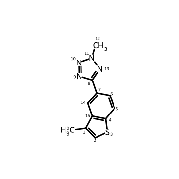 Cc1csc2ccc(-c3nnn(C)n3)cc12